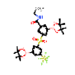 CC1(C)OB(c2cc(C(=O)NCC(=O)O)cc(S(=O)(=O)c3cc(B4OC(C)(C)C(C)(C)O4)cc(S(F)(F)(F)(F)F)c3)c2)OC1(C)C